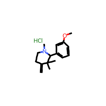 C=C1CCN(C)C(c2cccc(OC)c2)C1(C)C.Cl